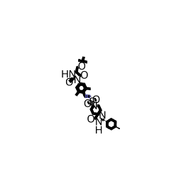 Cc1cc(N2C(=O)NC(COC(C)(C)C)C2=O)cc(C)c1/C=C/S(=O)(=O)N1CCC2(CC1)N=C([C@H]1CC[C@H](C)CC1)NC2=O